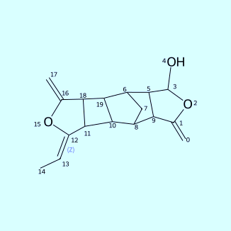 C=C1OC(O)C2C3CC(C12)C1C2/C(=C/C)OC(=C)C2C31